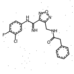 N=C(Nc1ccc(F)c(Cl)c1)c1nonc1CNC(=O)Cc1ccccc1